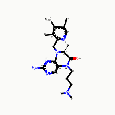 COc1c(C)cnc(CN2c3nc(N)ncc3N(CCCN(C)C)C(=O)[C@H]2C)c1C